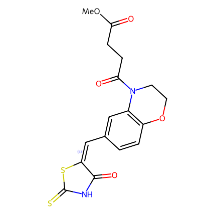 COC(=O)CCC(=O)N1CCOc2ccc(/C=C3/SC(=S)NC3=O)cc21